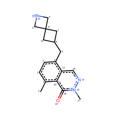 Cc1ccc(CC2CC3(CNC3)C2)c2cnn(C)c(=O)c12